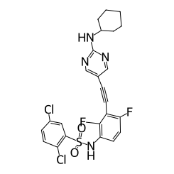 O=S(=O)(Nc1ccc(F)c(C#Cc2cnc(NC3CCCCC3)nc2)c1F)c1cc(Cl)ccc1Cl